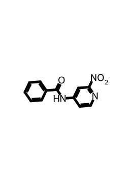 O=C(Nc1ccnc([N+](=O)[O-])c1)c1ccccc1